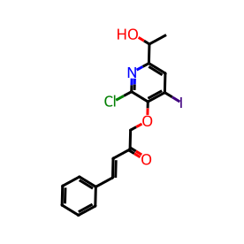 CC(O)c1cc(I)c(OCC(=O)/C=C/c2ccccc2)c(Cl)n1